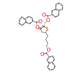 O=C(OCCCCC1C[C@H](OC(=O)c2ccc3ccccc3c2)[C@H](COC(=O)c2ccc3ccccc3c2)S1)c1ccc2ccccc2c1